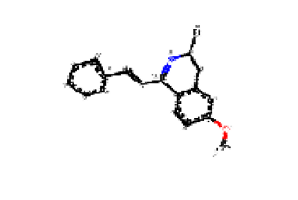 CCCOc1ccc2c(c1)CC(CC)N=C2/C=C/c1ccccc1